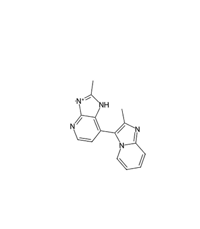 CC1=[N+]c2nccc(-c3c(C)nc4ccccn34)c2N1